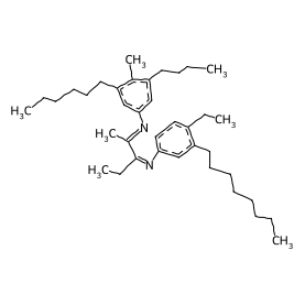 CCCCCCCCc1cc(N=C(CC)C(C)=Nc2cc(CCCC)c(C)c(CCCCCC)c2)ccc1CC